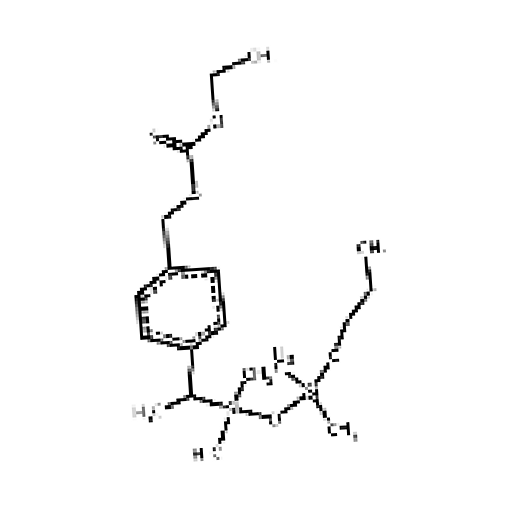 CCCC[Si](C)(C)O[Si](C)(C)C(C)c1ccc(CSC(=S)OCC)cc1